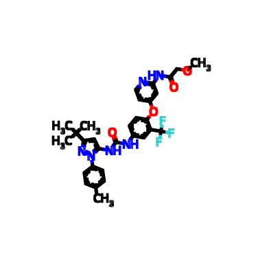 COCC(=O)Nc1cc(Oc2ccc(NC(=O)Nc3cc(C(C)(C)C)nn3-c3ccc(C)cc3)cc2C(F)(F)F)ccn1